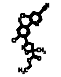 CCOC(=O)C1(C)CC(c2cc(-c3ncc(C#N)cc3Cl)c(F)cc2Cl)=NO1